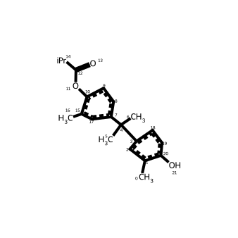 Cc1cc(C(C)(C)c2ccc(OC(=O)C(C)C)c(C)c2)ccc1O